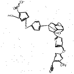 N#Cc1ccc(Oc2ccc(C34CC5CC(c6ccc(Oc7ccc([N+](=O)[O-])c(O)c7)cc6)(C3)OC(O5)O4)cc2)cc1O